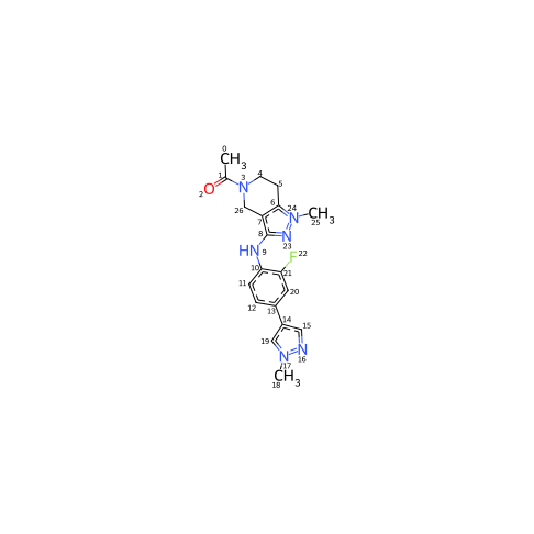 CC(=O)N1CCc2c(c(Nc3ccc(-c4cnn(C)c4)cc3F)nn2C)C1